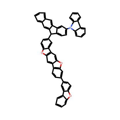 c1ccc2cc3c(cc2c1)-c1cc(-n2c4ccccc4c4ccccc42)ccc1C3c1ccc2oc3cc4c(cc3c2c1)oc1cc(-c2ccc3oc5ccccc5c3c2)ccc14